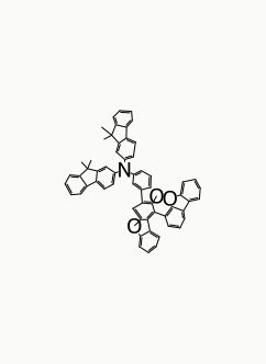 CC1(C)c2ccccc2-c2ccc(N(c3ccc4c(c3)C(C)(C)c3ccccc3-4)c3ccc4oc5c(-c6cccc7c6oc6ccccc67)c6c(cc5c4c3)oc3ccccc36)cc21